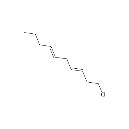 CCCC=CCC=CCCCl